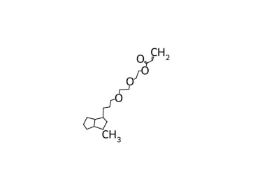 C=CC(=O)OCCOCCOCCCC1CC(C)C2CCCC12